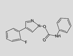 O=C(Nc1ccccc1)On1cc(-c2ccccc2F)cn1